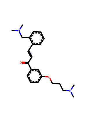 CN(C)CCCOc1cccc(C(=O)/C=C/c2ccccc2CN(C)C)c1